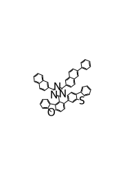 c1ccc(-c2ccc3cc(-c4nc(-c5ccc6ccccc6c5)nc(-c5c(-c6ccc7c(c6)sc6ccccc67)ccc6oc7ccccc7c56)n4)ccc3c2)cc1